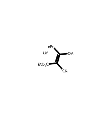 CCCC(O)=C(C#N)C(=O)OCC.[LiH]